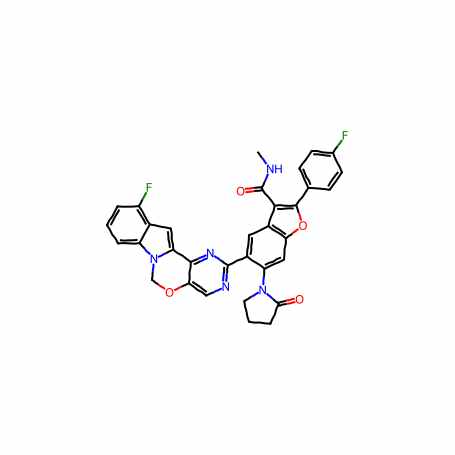 CNC(=O)c1c(-c2ccc(F)cc2)oc2cc(N3CCCC3=O)c(-c3ncc4c(n3)-c3cc5c(F)cccc5n3CO4)cc12